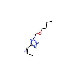 C/C=C\c1nnn(COCCCC)n1